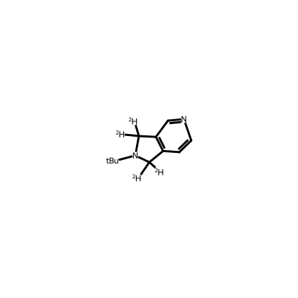 [2H]C1([2H])c2ccncc2C([2H])([2H])N1C(C)(C)C